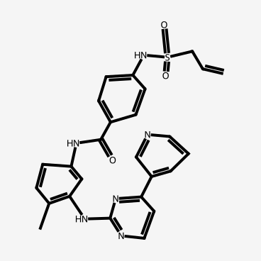 C=CCS(=O)(=O)Nc1ccc(C(=O)Nc2ccc(C)c(Nc3nccc(-c4cccnc4)n3)c2)cc1